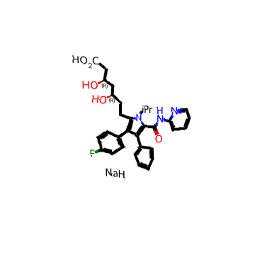 CC(C)n1c(CC[C@@H](O)C[C@@H](O)CC(=O)O)c(-c2ccc(F)cc2)c(-c2ccccc2)c1C(=O)Nc1ccccn1.[NaH]